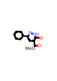 COC(=O)c1cc(-c2ccccc2)n[nH]c1=O